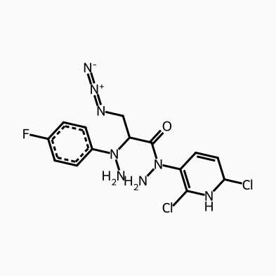 [N-]=[N+]=NCC(C(=O)N(N)C1=C(Cl)NC(Cl)C=C1)N(N)c1ccc(F)cc1